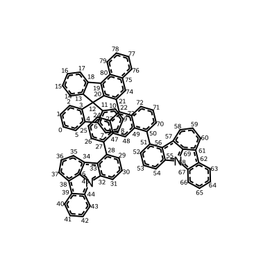 c1ccc2c(c1)-c1ccccc1C21c2ccccc2-c2c1c(-c1c3cccc(-c4cccc5c4c4cccc6c7ccccc7n5c64)c3cc3c(-c4cccc5c4c4cccc6c7ccccc7n5c64)cccc13)cc1ccccc21